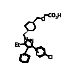 CCc1c(-c2ccccc2)c(-c2ccc(Cl)cc2)nn1C[C@H]1CC[C@H](COCC(=O)O)CC1